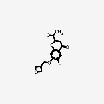 CC(C)C1CC(=O)c2cc(F)c(OCC3COC3)cc2O1